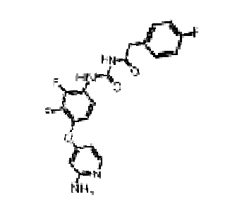 Nc1cc(Oc2ccc(NC(=O)NC(=O)Cc3ccc(F)cc3)c(F)c2F)ccn1